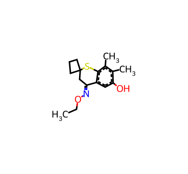 CCON=C1CC2(CCC2)Sc2c1cc(O)c(C)c2C